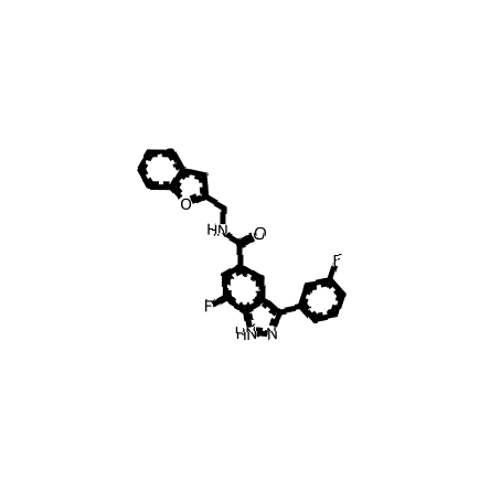 O=C(NCc1cc2ccccc2o1)c1cc(F)c2[nH]nc(-c3cccc(F)c3)c2c1